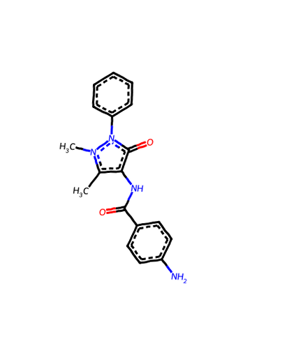 Cc1c(NC(=O)c2ccc(N)cc2)c(=O)n(-c2ccccc2)n1C